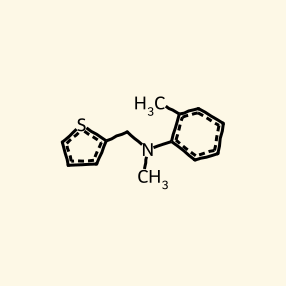 Cc1ccccc1N(C)Cc1cccs1